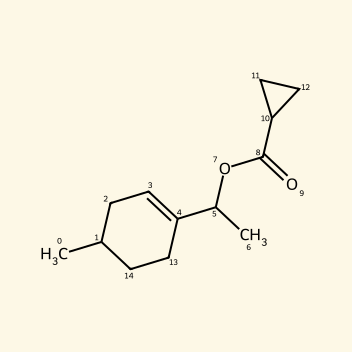 CC1CC=C(C(C)OC(=O)C2CC2)CC1